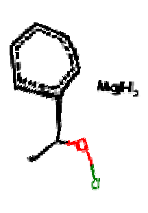 CC(OCl)c1ccccc1.[MgH2]